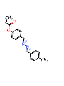 C=CC(=O)Oc1ccc(/C=N/N=C/c2ccc(C)cc2)cc1